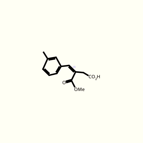 COC(=O)/C(=C\c1cccc(C)c1)CC(=O)O